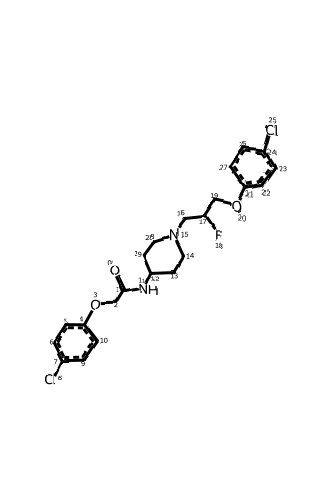 O=C(COc1ccc(Cl)cc1)NC1CCN(CC(F)COc2ccc(Cl)cc2)CC1